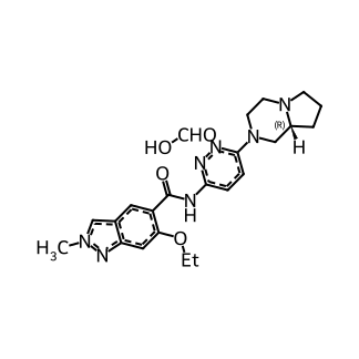 CCOc1cc2nn(C)cc2cc1C(=O)Nc1ccc(N2CCN3CCC[C@@H]3C2)nn1.O=CO